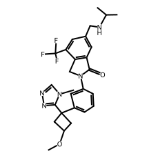 COC1CC(c2cccc(N3Cc4c(cc(CNC(C)C)cc4C(F)(F)F)C3=O)c2)(c2nncn2C)C1